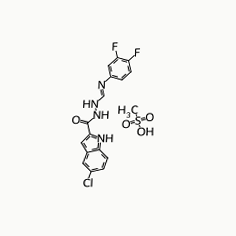 CS(=O)(=O)O.O=C(NNC=Nc1ccc(F)c(F)c1)c1cc2cc(Cl)ccc2[nH]1